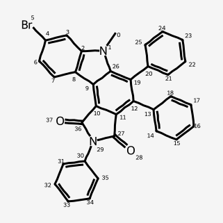 Cn1c2cc(Br)ccc2c2c3c(c(-c4ccccc4)c(-c4ccccc4)c21)C(=O)N(c1ccccc1)C3=O